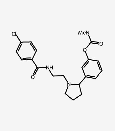 CNC(=O)Oc1cccc(C2CCCN2CCNC(=O)c2ccc(Cl)cc2)c1